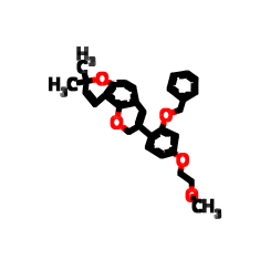 COCCOc1ccc(C2=Cc3ccc4c(c3OC2)C=CC(C)(C)O4)c(OCc2ccccc2)c1